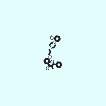 COc1ccccc1N1CCN(CCCOc2cccc3c(=O)c(C)c(-c4ccccc4)oc23)CC1